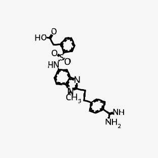 Cn1c(CCc2ccc(C(=N)N)cc2)nc2cc(NS(=O)(=O)c3ccccc3CC(=O)O)ccc21